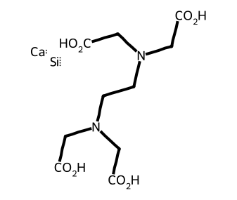 O=C(O)CN(CCN(CC(=O)O)CC(=O)O)CC(=O)O.[Ca].[Si]